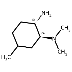 CC1CC[C@H](N)[C@@H](N(C)C)C1